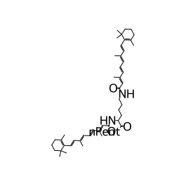 CCCCCC(=O)C(CCCCNC(=O)/C=C(C)/C=C/C=C(C)/C=C/C1=C(C)CCCC1(C)C)NC(=O)/C=C(C)/C=C/C=C(C)/C=C/C1=C(C)CCCC1(C)C